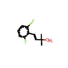 CC(C)(O)/C=C/c1c(F)cccc1F